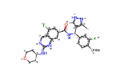 COc1ccc([C@@H](NC(=O)c2cc(F)c3cnc(NC4CCOCC4)nc3c2)c2c[nH]nc2C)cc1F